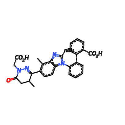 CCCCc1nc2c(C)c(C3=NN(CC(=O)O)C(=O)CC3C)ccc2n1-c1ccccc1-c1ccccc1C(=O)O